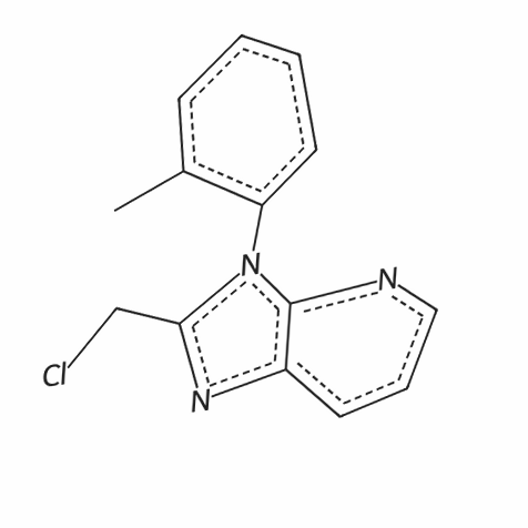 Cc1ccccc1-n1c(CCl)nc2cccnc21